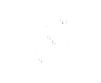 COc1nn(Cc2ccc(C)nc2)c2cccc(N)c12